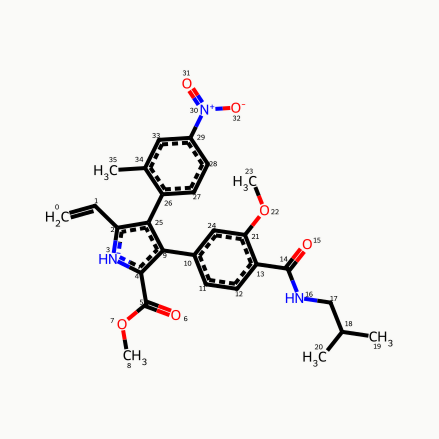 C=Cc1[nH]c(C(=O)OC)c(-c2ccc(C(=O)NCC(C)C)c(OC)c2)c1-c1ccc([N+](=O)[O-])cc1C